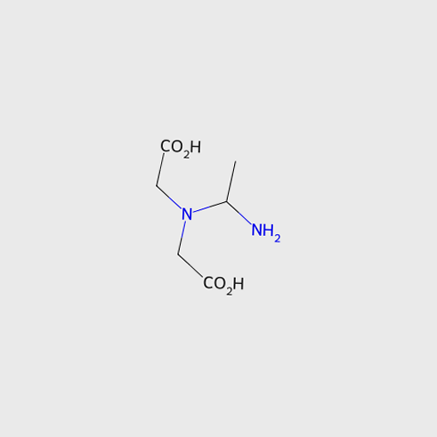 CC(N)N(CC(=O)O)CC(=O)O